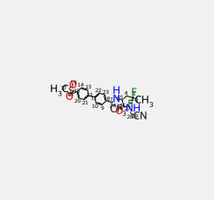 CC(F)(F)C[C@H](N[C@@H](c1ccc(-c2ccc(S(C)(=O)=O)cc2)cc1)C(F)(F)F)C(=O)NCC#N